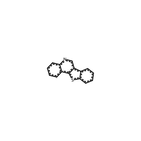 [c]1cccc2ncc3c4ccccc4sc3c12